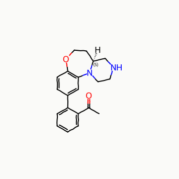 CC(=O)c1ccccc1-c1ccc2c(c1)N1CCNC[C@@H]1CCO2